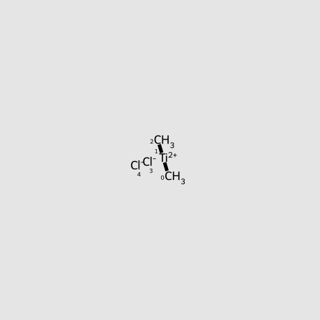 [CH3][Ti+2][CH3].[Cl-].[Cl-]